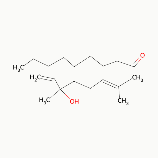 C=CC(C)(O)CCC=C(C)C.CCCCCCCCC=O